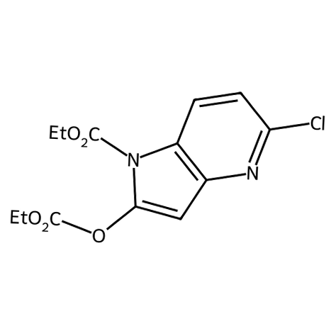 CCOC(=O)Oc1cc2nc(Cl)ccc2n1C(=O)OCC